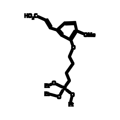 CCO[Si](CCCCOc1cc(C=CC(=O)O)ccc1OC)(OCC)OCC